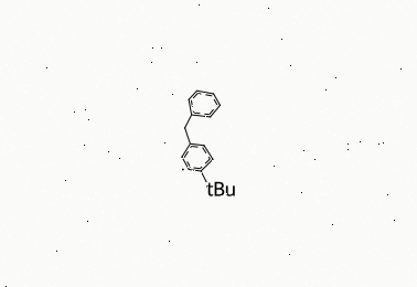 CC(C)(C)c1[c]cc(Cc2ccccc2)cc1